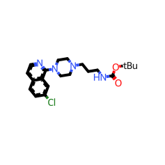 CC(C)(C)OC(=O)NCCCN1CCN(c2nccc3ccc(Cl)cc23)CC1